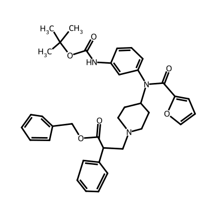 CC(C)(C)OC(=O)Nc1cccc(N(C(=O)c2ccco2)C2CCN(CC(C(=O)OCc3ccccc3)c3ccccc3)CC2)c1